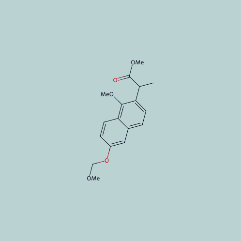 COCOc1ccc2c(OC)c(C(C)C(=O)OC)ccc2c1